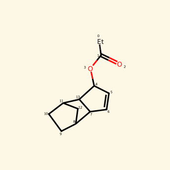 CCC(=O)OC1C=CC2C3CCC(C3)C12